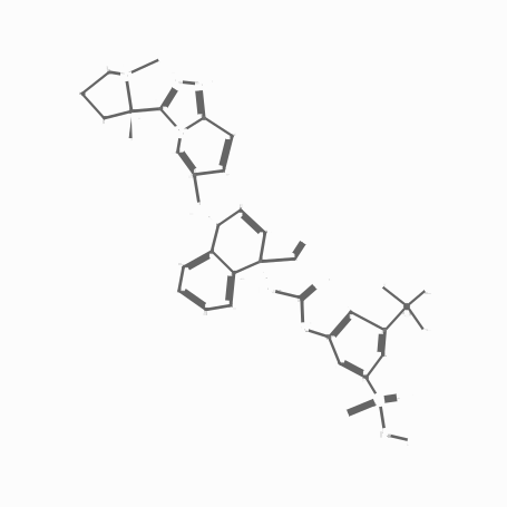 CNS(=O)(=O)c1cc(NC(=O)N[C@@]2(C=O)C=C[C@@H](Oc3ccc4nnc([C@]5(C)CCCN5C)n4c3)c3ccccc32)cc(C(C)(C)C)c1